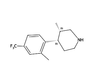 Cc1cc(C(F)(F)F)ccc1[C@H]1CCNC[C@H]1C